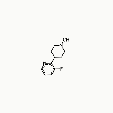 CN1CCC(c2ncccc2F)CC1